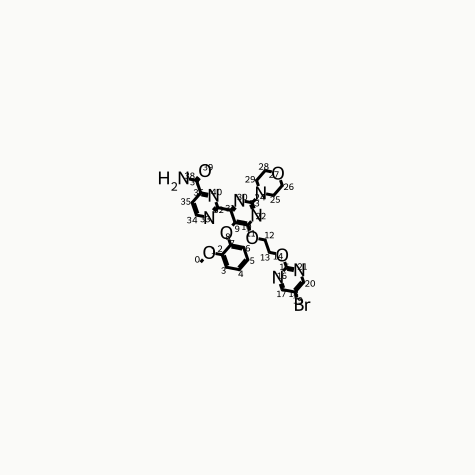 COc1ccccc1Oc1c(OCCOc2ncc(Br)cn2)nc(N2CCOCC2)nc1-c1nccc(C(N)=O)n1